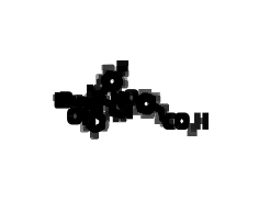 CC(C)(C)OC(=O)N1CCCCC1n1cnc(-c2ccc(F)cc2)c1-c1ccnc(Oc2ccc(CCC(=O)O)cc2)n1